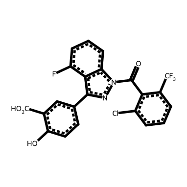 O=C(O)c1cc(-c2nn(C(=O)c3c(Cl)cccc3C(F)(F)F)c3cccc(F)c23)ccc1O